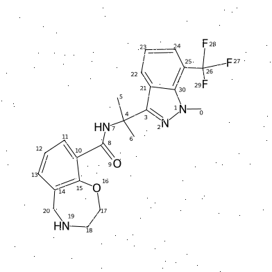 Cn1nc(C(C)(C)NC(=O)c2cccc3c2OCCNC3)c2cccc(C(F)(F)F)c21